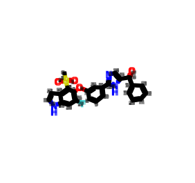 CS(=O)(=O)c1c(Oc2cccc(-c3ncc(C(=O)c4ccccc4)[nH]3)c2)c(F)cc2[nH]ccc12